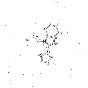 CC[n+]1c(-c2cccs2)sc2ccccc21.[I-]